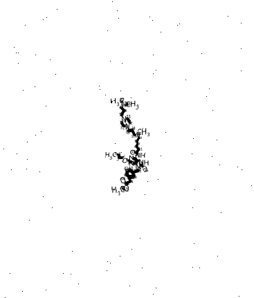 CCCCOc1nc(NC(=O)CCCCCN(C)CCCN2CCN(CCCN(C)C)CC2)c2[nH]c(=O)n(Cc3cccc(CC(=O)OC)c3)c2n1